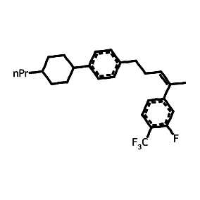 CCCC1CCC(c2ccc(CCC=C(C)c3ccc(C(F)(F)F)c(F)c3)cc2)CC1